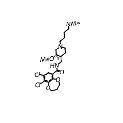 CNCCCCN1CC[C@@H](CNC(=O)c2cc(Cl)c(Cl)c3c2OCCCO3)[C@H](OC)C1